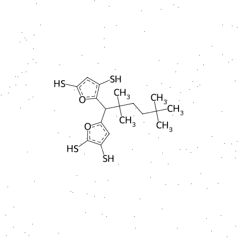 CC(C)(C)CCC(C)(C)C(c1cc(S)c(S)o1)c1oc(S)cc1S